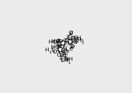 CCCOc1c(OC)cc(C2([C@@H](O)C(=O)O)C=CC(CCCC=O)(c3cc(OC)c(OC)c(OC)c3)C=C2C)cc1S(=O)(=O)CCO